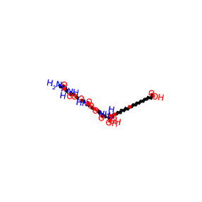 NCC(=O)NCCNC(=O)COCCOCCNC(=O)COCCOCCNC(=O)CC[C@H](NC(=O)CCCCCCCCCCCCCCCCCCCCC(=O)O)C(O)O